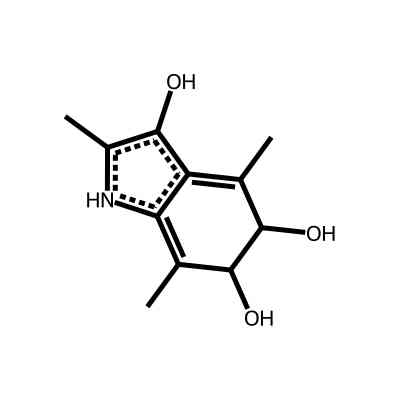 CC1=c2[nH]c(C)c(O)c2=C(C)C(O)C1O